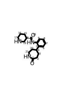 O=C1CCC(c2ccccc2NC(=O)[C@H]2CCCNC2)CCN1